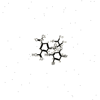 O=C(O)c1cc([N+](=O)[O-])cc([N+](=O)[O-])c1Nc1cc(OC(F)(F)C(F)F)c(Br)cc1Br